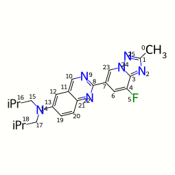 Cc1nc2c(F)cc(-c3ncc4cc(N(CC(C)C)CC(C)C)ccc4n3)cn2n1